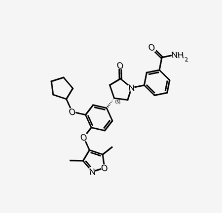 Cc1noc(C)c1Oc1ccc([C@@H]2CC(=O)N(c3cccc(C(N)=O)c3)C2)cc1OC1CCCC1